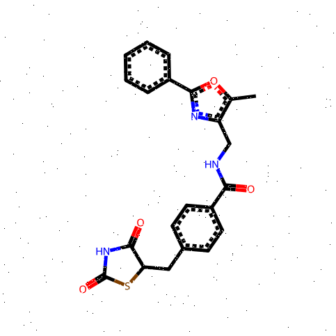 Cc1oc(-c2ccccc2)nc1CNC(=O)c1ccc(CC2SC(=O)NC2=O)cc1